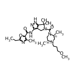 CCc1nc(C)c(C(=O)Nc2n[nH]c3c2CN(C(=O)N2C[C@@H](C)N(CCCOC)C[C@@H]2C)C3(C)C)o1